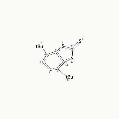 CC(C)(C)c1ccc(C(C)(C)C)c2sc(=S)sc12